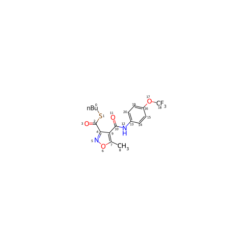 CCCCSC(=O)c1noc(C)c1C(=O)Nc1ccc(OC(F)(F)F)cc1